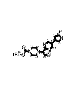 Cn1cc(-c2cnc3c(N4CCN(C(=O)OC(C)(C)C)CC4)cnn3c2)cn1